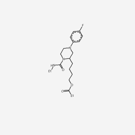 CCNC(=O)N1CCN(c2ccc(F)cc2)CC1CCCCOC(=O)CC